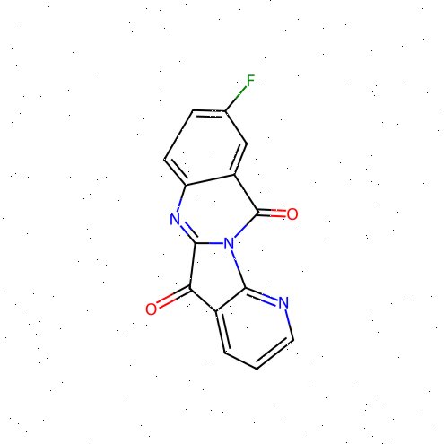 O=C1c2cccnc2-n2c1nc1ccc(F)cc1c2=O